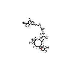 CCC1OC(=O)[C@H](C)[C@H](OC2C[C@](C)(OC)[C@H](OC(=O)CCNCCN(C)CCSc3ccc4c(c3)c(=O)c(C(=O)O)cn4CC)[C@H](C)O2)[C@H](C)[C@H](O[C@H]2O[C@@H](C)C[C@H](N(C)C)[C@H]2O)[C@](C)(OC)C[C@H](C)C(=O)[C@@H](C)C(O)[C@]1(C)O